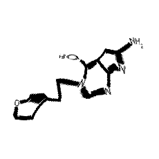 Nc1cc2c(O)n(CCc3ccoc3)cnc-2n1